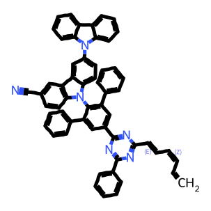 C=C/C=C\C=C\c1nc(-c2ccccc2)nc(-c2cc(-c3ccccc3)c(-n3c4ccc(C#N)cc4c4cc(-n5c6ccccc6c6ccccc65)ccc43)c(-c3ccccc3)c2)n1